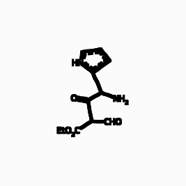 CCOC(=O)C(C=O)C(=O)C(N)c1ccc[nH]1